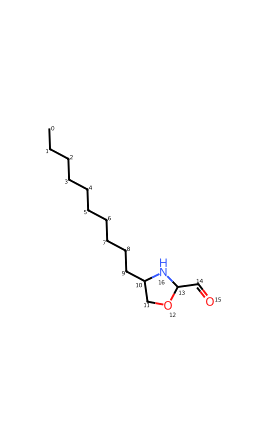 CCCCCCCCCCC1COC(C=O)N1